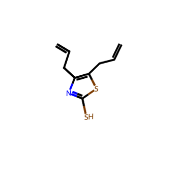 C=CCc1nc(S)sc1CC=C